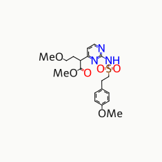 COCCC(C(=O)OC)c1ccnc(NS(=O)(=O)CCc2ccc(OC)cc2)n1